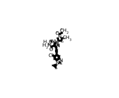 C=CC(=O)N1CC(n2nc(C#Cc3cc4ncn(C5CC5)c4cc3Cl)c(C(N)=O)c2NC)C[C@@H]1C